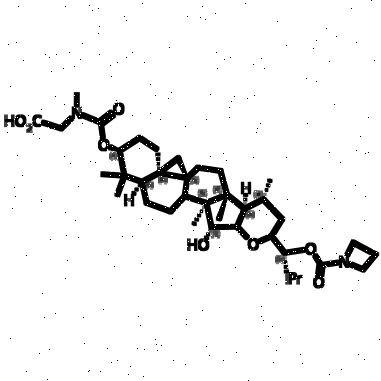 CC(C)[C@@H](OC(=O)N1CCC1)C1C[C@@H](C)[C@H]2C(O1)[C@H](O)[C@@]1(C)C3CC[C@H]4C(C)(C)[C@@H](OC(=O)N(C)CC(=O)O)CC[C@@]45C[C@@]35CC[C@]21C